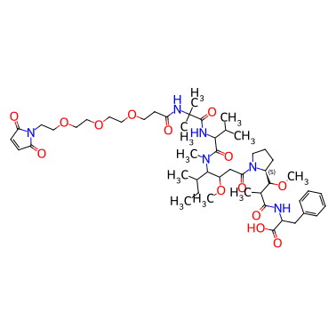 CCC(C)C(C(CC(=O)N1CCC[C@H]1C(OC)C(C)C(=O)NC(Cc1ccccc1)C(=O)O)OC)N(C)C(=O)C(NC(=O)C(C)(C)NC(=O)CCOCCOCCOCCN1C(=O)C=CC1=O)C(C)C